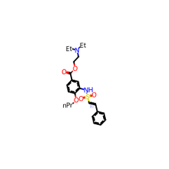 CCCOc1ccc(C(=O)OCCN(CC)CC)cc1NS(=O)(=O)/C=C/c1ccccc1